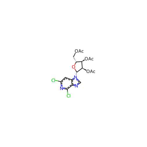 CC(=O)OC[C@H]1O[C@@H](n2cnc3c(Cl)nc(Cl)cc32)[C@H](OC(C)=O)[C@@H]1OC(C)=O